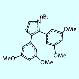 CCCCn1cnc(-c2cc(OC)cc(OC)c2)c1-c1cc(OC)cc(OC)c1